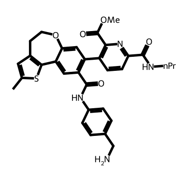 CCCNC(=O)c1ccc(-c2cc3c(cc2C(=O)Nc2ccc(CN)cc2)-c2sc(C)cc2CCO3)c(C(=O)OC)n1